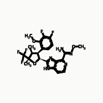 CO/N=C(\N)c1nccc2[nH]c([C@@H]3O[C@@](C)(C(F)(F)F)[C@@H](C)[C@H]3c3ccc(F)c(F)c3OC)nc12